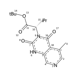 Cc1cncc2[nH]c(=O)n([C@H](C(=O)OC(C)(C)C)C(C)C)c(=O)c12